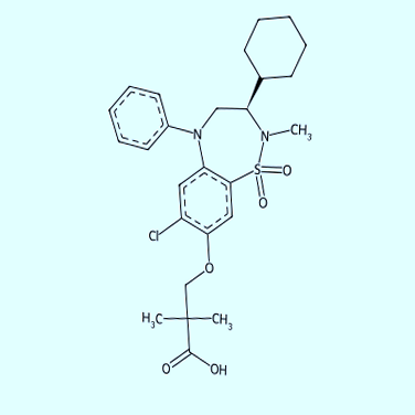 CN1[C@H](C2CCCCC2)CN(c2ccccc2)c2cc(Cl)c(OCC(C)(C)C(=O)O)cc2S1(=O)=O